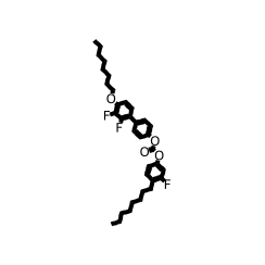 CCCCCCCCOc1ccc(-c2ccc(OC(=O)Oc3ccc(CCCCCCCC)c(F)c3)cc2)c(F)c1F